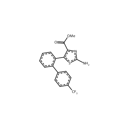 COC(=O)c1nc(N)sc1-c1ccccc1-c1ccc(C(F)(F)F)cc1